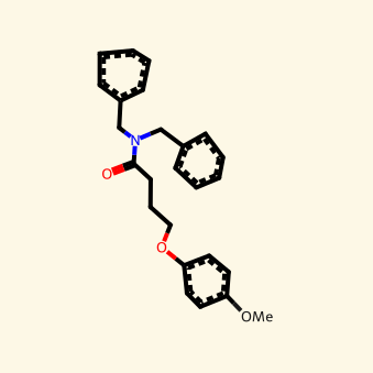 COc1ccc(OCCCC(=O)N(Cc2ccccc2)Cc2ccccc2)cc1